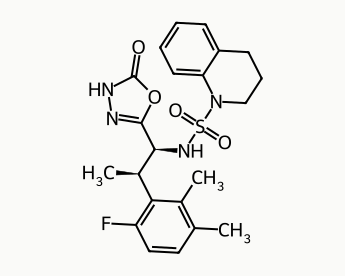 Cc1ccc(F)c([C@@H](C)[C@H](NS(=O)(=O)N2CCCc3ccccc32)c2n[nH]c(=O)o2)c1C